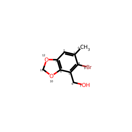 Cc1cc2c(c(CO)c1Br)OCO2